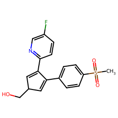 CS(=O)(=O)c1ccc(C2=CC(CO)C=C2c2ccc(F)cn2)cc1